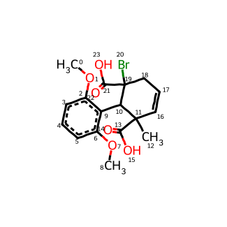 COc1cccc(OC)c1C1C(C)(C(=O)O)C=CCC1(Br)C(=O)O